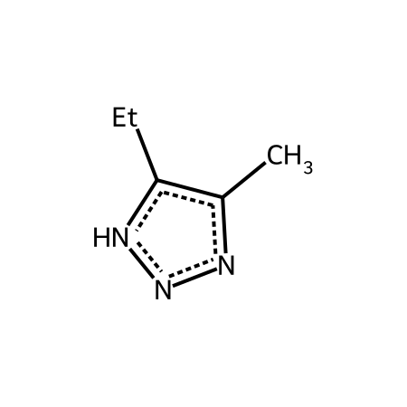 CCc1[nH]nnc1C